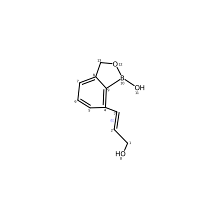 OC/C=C/c1cccc2c1B(O)OC2